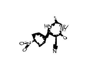 N#Cc1c(-c2ccc([N+](=O)[O-])cc2)[nH]c(=S)[nH]c1=O